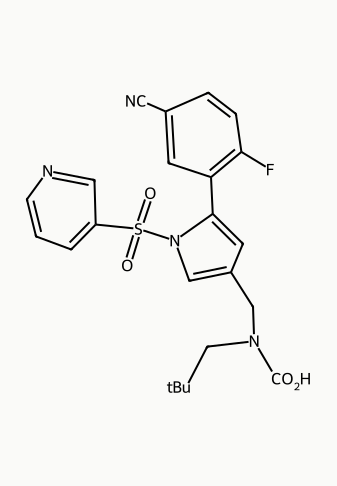 CC(C)(C)CN(Cc1cc(-c2cc(C#N)ccc2F)n(S(=O)(=O)c2cccnc2)c1)C(=O)O